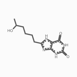 CC(O)CCCCc1nc2[nH]c(=O)[nH]c(=O)c2[nH]1